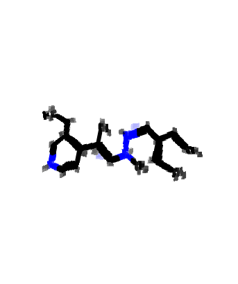 C=CC(=CC)/C=N\N(C)/C=C(\C)c1ccncc1CC